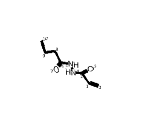 C=CC(=O)NNC(=O)CCC